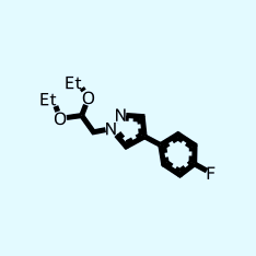 CCOC(Cn1cc(-c2ccc(F)cc2)cn1)OCC